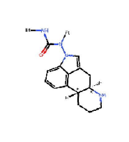 CCNC(=O)N(CC)n1cc2c3c(cccc31)[C@H]1CCCN[C@@H]1C2